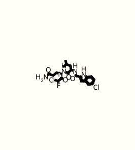 CC(C)CC(NC(=O)c1cc2cc(Cl)ccc2[nH]1)C(=O)NN(CCC(N)=O)C(=O)C(F)Cl